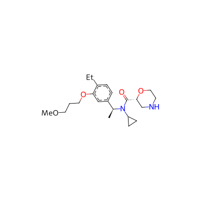 CCc1ccc([C@H](C)N(C(=O)[C@H]2CNCCO2)C2CC2)cc1OCCCOC